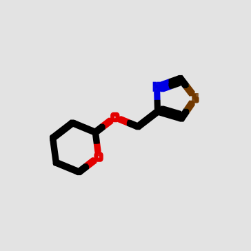 c1nc(COC2CCCCO2)cs1